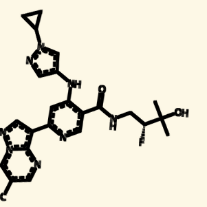 CC(C)(O)[C@H](F)CNC(=O)c1cnc(-c2cnn3cc(C#N)cnc23)cc1Nc1cnn(C2CC2)c1